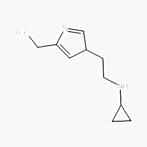 CCC1=CC(CCNC2CC2)C=N1